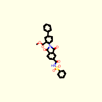 COC(=O)c1cc(-c2ccccc2)ccc1N1C(=O)c2ccc(C(=O)NS(=O)(=O)c3ccccc3)cc2C1=O